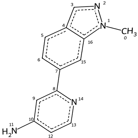 Cn1ncc2ccc(-c3cc(N)ccn3)cc21